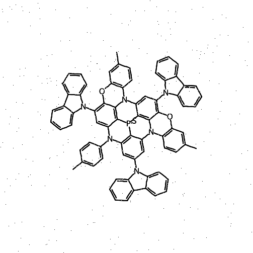 Cc1ccc(N2c3cc(-n4c5ccccc5c5ccccc54)cc4c3P3(=S)c5c(cc(-n6c7ccccc7c7ccccc76)c6c5N4c4ccc(C)cc4O6)N4c5ccc(C)cc5Oc5c(-n6c7ccccc7c7ccccc76)cc2c3c54)cc1